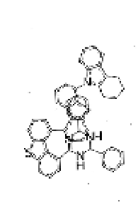 C1=Cc2c(c3ccccc3n2-c2cccc3c2sc2cccc(-c4cccc5sc6cccc(C7=NC(c8ccccc8)NC(c8ccccc8)N7)c6c45)c23)CC1